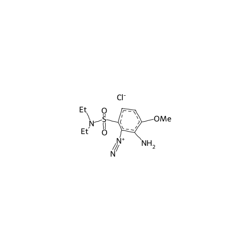 CCN(CC)S(=O)(=O)c1ccc(OC)c(N)c1[N+]#N.[Cl-]